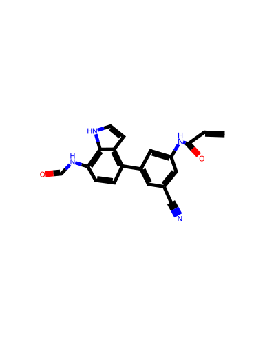 C=CC(=O)Nc1cc(C#N)cc(-c2ccc(NC=O)c3[nH]ccc23)c1